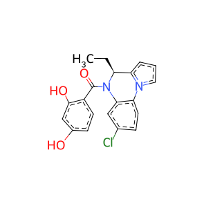 CC[C@H]1c2cccn2-c2ccc(Cl)cc2N1C(=O)c1ccc(O)cc1O